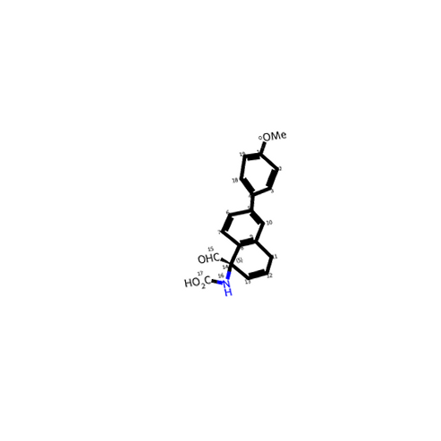 COc1ccc(-c2ccc3c(c2)CC=C[C@]3(C=O)NC(=O)O)cc1